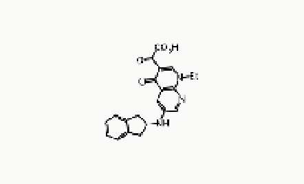 CCn1cc(C(=O)C(=O)O)c(=O)c2cc(NC3Cc4ccccc4C3)cnc21